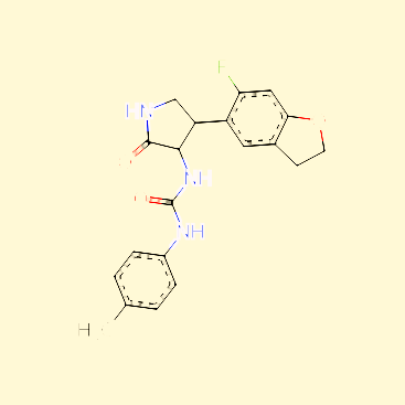 Cc1ccc(NC(=O)NC2C(=O)NCC2c2cc3c(cc2F)OCC3)cc1